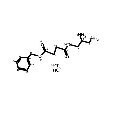 Cl.Cl.NCC(N)CNC(=O)CCC(=O)OCc1ccccc1